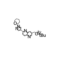 CC(C)(C)[Si](C)(C)OCc1cnc2ccc(-c3cnn(C4CCCCO4)c3)nc2c1